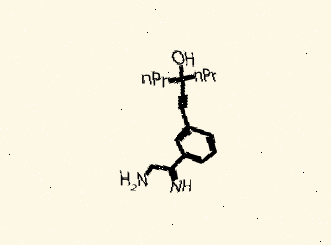 CCCC(O)(C#Cc1cccc(C(=N)CN)c1)CCC